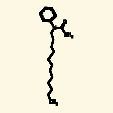 CCCCCCCCCCCCN(C(N)=O)c1ccccc1